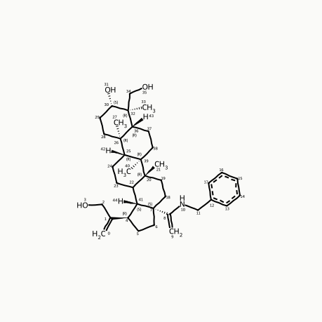 C=C(CO)[C@@H]1CC[C@]2(C(=C)NCc3ccccc3)CC[C@]3(C)C(CC[C@@H]4[C@@]5(C)CC[C@H](O)[C@@](C)(CO)[C@@H]5CC[C@]43C)[C@@H]12